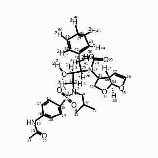 [2H]O[C@]([2H])(C([2H])([2H])N(CC(C)C)S(=O)(=O)c1ccc(NC(C)=O)cc1)[C@@]([2H])(N(C(=O)O)C1CO[C@@H]2OC=C[C@@H]12)C([2H])([2H])c1c([2H])c([2H])c([2H])c([2H])c1[2H]